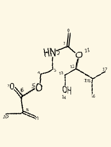 C=C(NCCOC(=O)C(=C)C)OC(CO)C(C)C